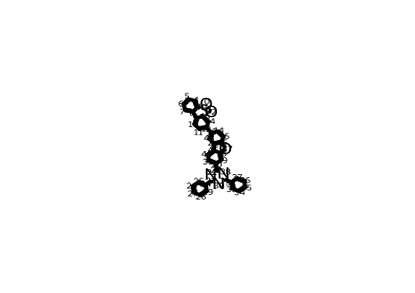 O=S1(=O)c2ccccc2-c2ccc(-c3ccc4oc5cc(-c6nc(-c7ccccc7)nc(-c7ccccc7)n6)ccc5c4c3)cc21